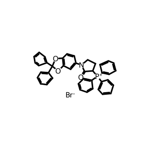 O=C1C([P+](c2ccccc2)(c2ccccc2)c2ccccc2)CCN1c1ccc2c(c1)OC(c1ccccc1)(c1ccccc1)O2.[Br-]